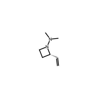 C=C[C@@H]1CCN1N(C)C